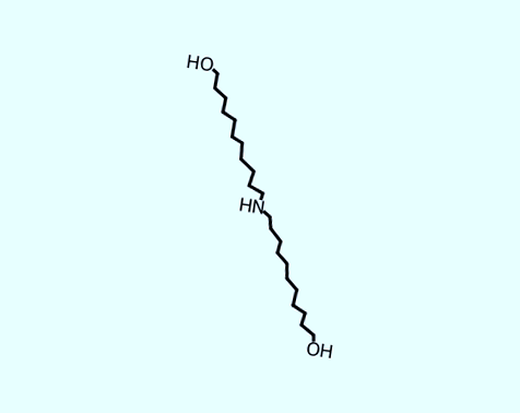 OCCCCCCCCCCCNCCCCCCCCCCCO